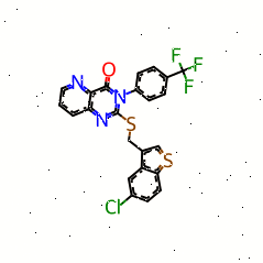 O=c1c2ncccc2nc(SCc2csc3ccc(Cl)cc23)n1-c1ccc(C(F)(F)F)cc1